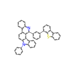 c1ccc(-n2c3ccccc3c3c4c(-c5cccc(-c6cccc7c6sc6ccccc67)c5)nc5ccccc5c4ccc32)cc1